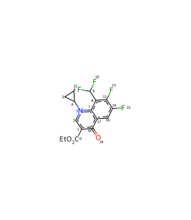 CCOC(=O)c1cn(C2CC2)c2c(C(F)F)c(F)c(F)cc2c1=O